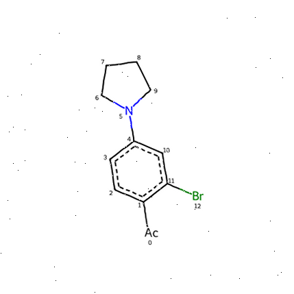 CC(=O)c1ccc(N2CCCC2)cc1Br